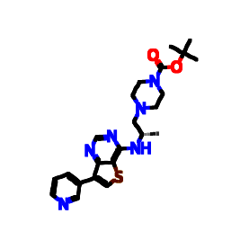 C[C@@H](CN1CCN(C(=O)OC(C)(C)C)CC1)Nc1ncnc2c(-c3cccnc3)csc12